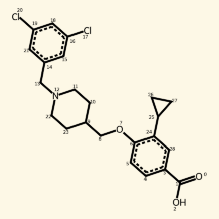 O=C(O)c1ccc(OCC2CCN(Cc3cc(Cl)cc(Cl)c3)CC2)c(C2CC2)c1